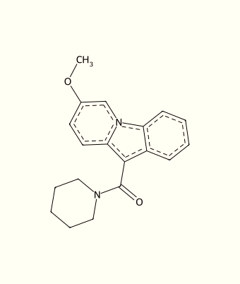 COc1ccc2c(C(=O)N3CCCCC3)c3ccccc3n2c1